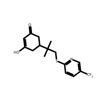 CC(C)(CSc1ccc(C(F)(F)F)cn1)C1CC(=O)C=C(O)C1